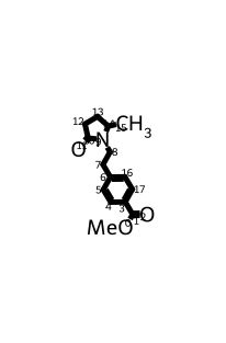 COC(=O)c1ccc(CCN2C(=O)CCC2C)cc1